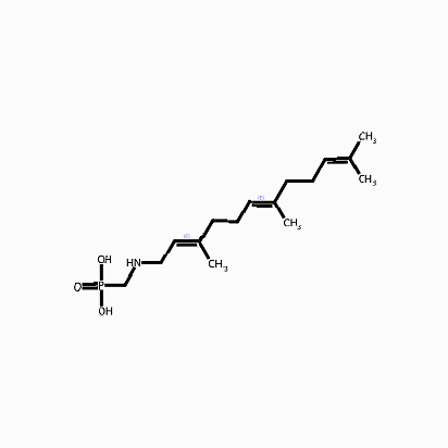 CC(C)=CCC/C(C)=C/CC/C(C)=C/CNCP(=O)(O)O